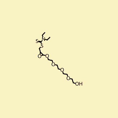 CCN(CC)C(=S)SCC1OC1OCCOCCOCCOCCO